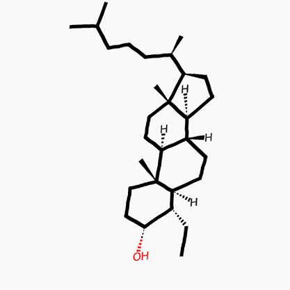 CC[C@@H]1[C@H](O)CC[C@@]2(C)[C@H]1CC[C@@H]1[C@@H]2CC[C@]2(C)[C@@H]([C@H](C)CCCC(C)C)CC[C@@H]12